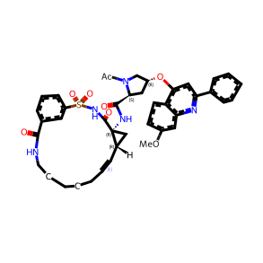 COc1ccc2c(O[C@@H]3C[C@@H](C(=O)N[C@]45C[C@@H]4/C=C/CCCCCNC(=O)c4cccc(c4)S(=O)(=O)NC5=O)N(C(C)=O)C3)cc(-c3ccccc3)nc2c1